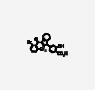 O=C(O)c1ccc(-c2nc(C(=O)c3c(Br)cccc3C(F)(F)F)n3c2CCCC3)cc1O